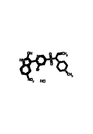 C=CC(N1CCN(C)CC1)S(=O)(=O)c1cnc(-c2c(O)[nH]c3ccc([N+](=O)[O-])cc23)c(Br)c1.Cl